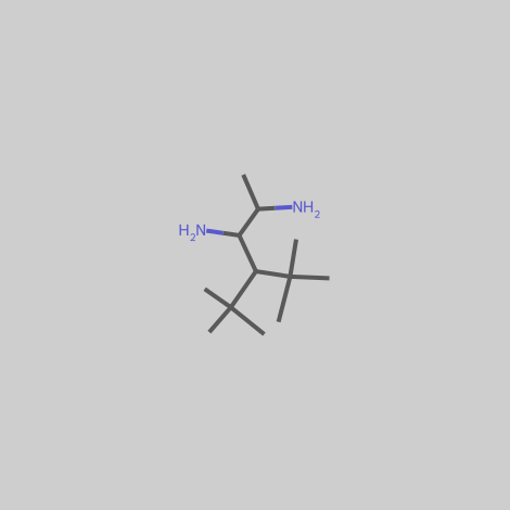 CC(N)C(N)C(C(C)(C)C)C(C)(C)C